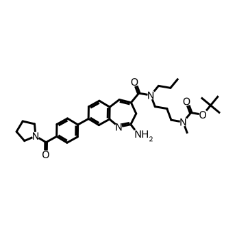 CCCN(CCCN(C)C(=O)OC(C)(C)C)C(=O)C1=Cc2ccc(-c3ccc(C(=O)N4CCCC4)cc3)cc2N=C(N)C1